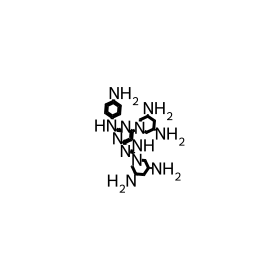 Nc1ccc(Nc2nc(N3C[C@H](N)C[C@H](N)C3)c3[nH]c(N4C[C@H](N)C[C@H](N)C4)nc3n2)cc1